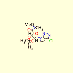 CON(C)C(=O)[C@H]1O[C@@H](n2ccc3c(Cl)ncnc32)[C@@H]2OC(C)(C)O[C@@H]21